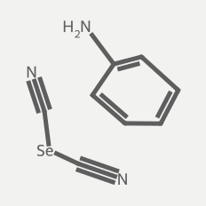 N#C[Se]C#N.Nc1ccccc1